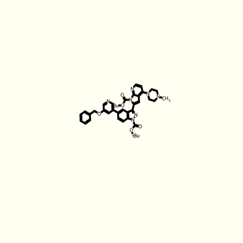 CN1CCN(c2ccnc3c2cc(-c2nn(C(=O)OC(C)(C)C)c4ccc(-c5cncc(OCc6ccccc6)c5)cc24)n3C(=O)OC(C)(C)C)CC1